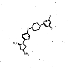 C=C1CC(N)CN1c1ccc(SN2CCN(c3cc(F)cc(Cl)n3)CC2)cc1